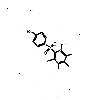 Cc1c(C)c(C)c(S(=O)(=O)c2ccc(Br)cc2)c(O)c1C